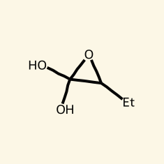 CCC1OC1(O)O